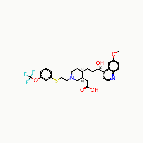 COc1ccc2nccc([C@@H](O)CC[C@@H]3CCN(CCSc4cccc(OC(F)(F)F)c4)C[C@@H]3CC(=O)O)c2c1